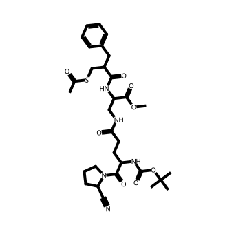 COC(=O)C(CNC(=O)CCC(NC(=O)OC(C)(C)C)C(=O)N1CCCC1C#N)NC(=O)C(CSC(C)=O)Cc1ccccc1